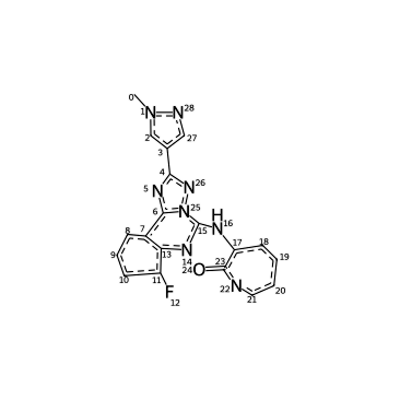 Cn1cc(-c2nc3c4cccc(F)c4nc(Nc4ccccnc4=O)n3n2)cn1